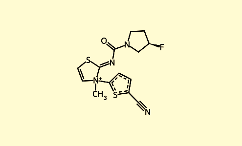 C[N+]1(c2ccc(C#N)s2)C=CS/C1=N\C(=O)N1CC[C@@H](F)C1